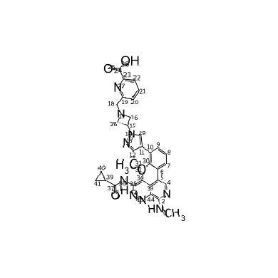 CNc1ncc(-c2cccc(-c3cnn(C4CN(Cc5cccc(C(=O)O)n5)C4)c3)c2OC)c2cc(NC(=O)C3CC3)nnc12